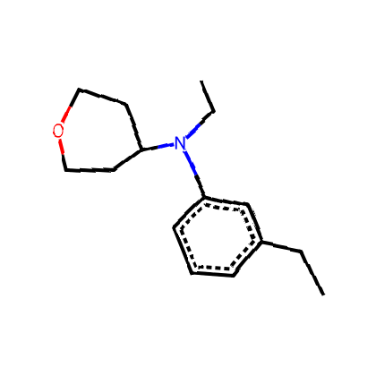 CCc1cccc(N(CC)C2CCOCC2)c1